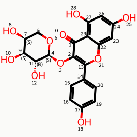 O=c1c(O[C@@H]2OC[C@H](O)[C@H](O)[C@H]2O)c(-c2ccc(O)cc2)oc2cc(O)cc(O)c12